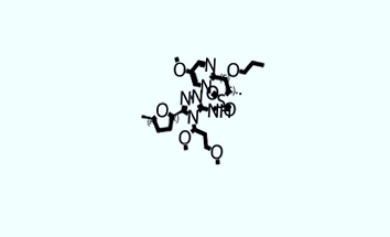 CCCO[C@@H](c1ncc(OC)cn1)[C@H](C)S(=O)(=O)Nc1nnc([C@H]2CC[C@@H](C)O2)n1C(CCOC)OC